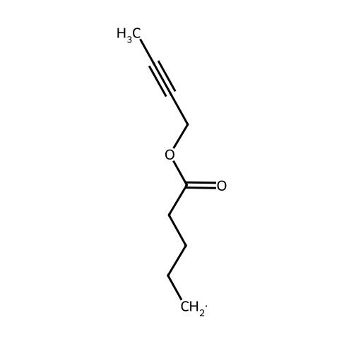 [CH2]CCCC(=O)OCC#CC